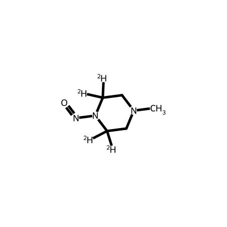 [2H]C1([2H])CN(C)CC([2H])([2H])N1N=O